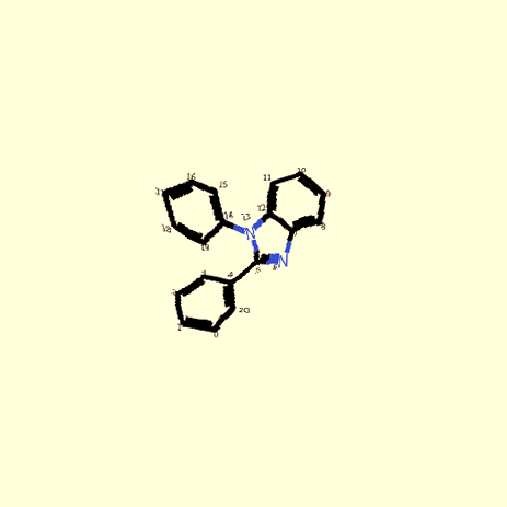 [c]1cccc(-c2nc3ccccc3n2-c2ccccc2)c1